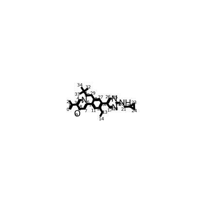 C=C(C)c1cn2c(cc1=O)-c1cc(CC)c(-c3cnc(NCC4CC4)nc3)cc1CC2C(C)(C)C